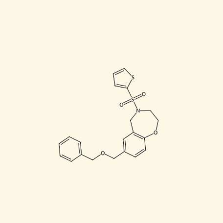 O=S(=O)(c1cccs1)N1CCOc2ccc(COCc3ccccc3)cc2C1